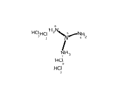 Cl.Cl.Cl.Cl.NN(N)N